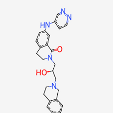 O=C1c2cc(Nc3ccnnc3)ccc2CCN1C[C@H](O)CN1CCc2ccccc2C1